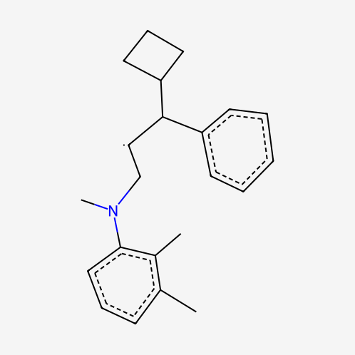 Cc1cccc(N(C)C[CH]C(c2ccccc2)C2CCC2)c1C